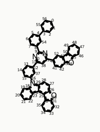 c1ccc(-c2cccc(-c3nc(-c4cccc(-n5c6ccccc6c6c7c(ccc65)oc5ccccc57)c4)cc(-c4ccc5oc6ccccc6c5c4)n3)c2)cc1